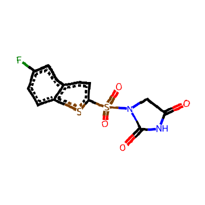 O=C1CN(S(=O)(=O)c2cc3cc(F)ccc3s2)C(=O)N1